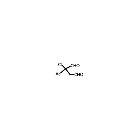 CC(=O)C(Cl)(C=O)CC=O